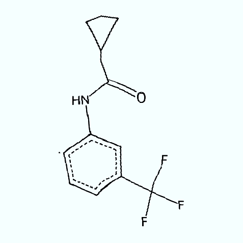 O=C(Nc1[c]ccc(C(F)(F)F)c1)C1CC1